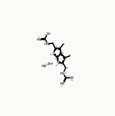 Br.Br.Cc1c(CNC(=N)S)sc2sc(CNC(=N)S)c(C)c12